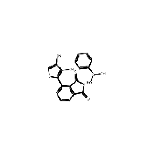 N#Cc1coc(-c2cccc3c2C(=O)OC3=O)c1C#N.OB(O)c1ccccc1